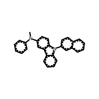 CN(c1ccccc1)c1ccc2c(c1)c1ccccc1n2-c1ccc2ccccc2c1